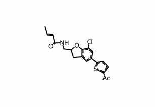 CC=CC(=O)NCC1Cc2cc(-c3ccc(C(C)=O)s3)cc(Cl)c2O1